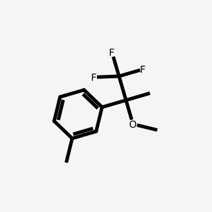 COC(C)(c1cccc(C)c1)C(F)(F)F